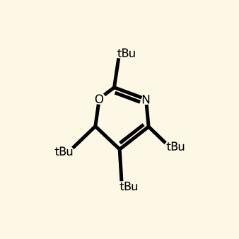 CC(C)(C)C1=NC(C(C)(C)C)=C(C(C)(C)C)C(C(C)(C)C)O1